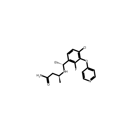 CC[C@@H](N[C@@H](C)CC(N)=O)c1ccc(Cl)c(Oc2ccncc2)c1F